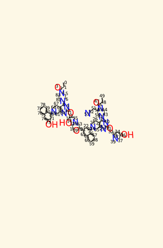 C=CC(=O)N1CCN(c2nc(OC(CO)CN3CCOC(c4cc(N5CCc6c(nc(OC[C@@H]7C[C@@H](O)CN7C)nc6N6CCN(C(=O)C=C)C(CC#N)C6)C5)c5ccccc5c4)C3)nc3c2CCN(c2cc(O)cc4ccccc24)C3)CC1